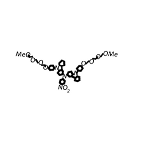 COCCOCCOCCOc1ccc(N2c3ccc(N(c4ccc([N+](=O)[O-])cc4)c4ccc5c(c4)c4ccccc4n5-c4ccc(OCCOCCOCCOC)cc4)cc3C3C=CC=CC32)cc1